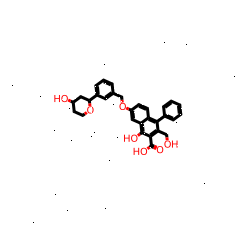 O=C(O)c1c(CO)c(-c2ccccc2)c2ccc(OCc3cccc(C4CC(O)CCO4)c3)cc2c1O